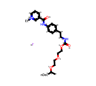 CCCCCCCCCCC(C)OCCOCCOC(=O)NCCc1ccc(NC(=O)c2ccc[n+](CC)c2)cc1.[I-]